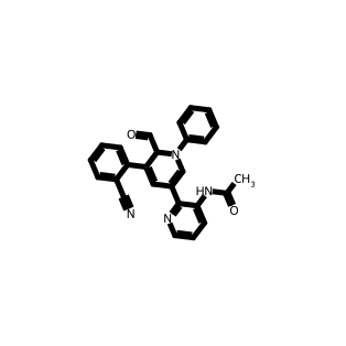 CC(=O)Nc1cccnc1C1=CN(c2ccccc2)C(C=O)C(c2ccccc2C#N)=C1